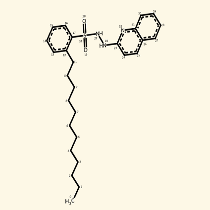 CCCCCCCCCCCCc1ccccc1S(=O)(=O)NNc1ccc2ccccc2n1